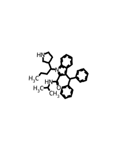 CCCC(C1CCNC1)n1c(C(=O)NC(C)C)c(C(c2ccccc2)c2ccccc2)c2ccccc21